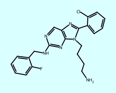 NCCCCn1c(-c2ccccc2Cl)nc2cnc(NCc3ccccc3F)nc21